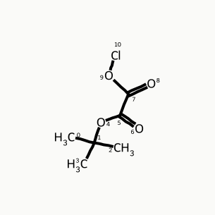 CC(C)(C)OC(=O)C(=O)OCl